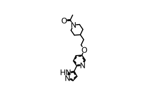 CC(=O)N1CCC(CCOc2ccc(-c3ccn[nH]3)nc2)CC1